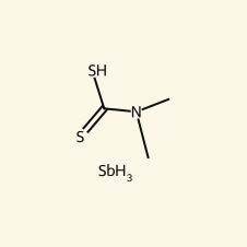 CN(C)C(=S)S.[SbH3]